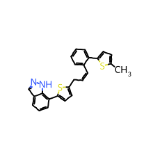 Cc1ccc(-c2ccccc2/C=C\Cc2ccc(-c3cccc4cn[nH]c34)s2)s1